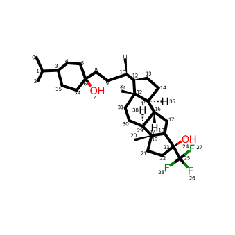 CC(C)C1CCC(O)(CC[C@@H](C)[C@H]2CC[C@H]3[C@@H]4CC5[C@](C)(CC[C@@]5(O)C(F)(F)F)[C@H]4CC[C@]23C)CC1